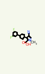 Cn1cc(C#N)c(-c2ccc(-c3cc(F)cc(F)c3)cc2)c1C(=O)O